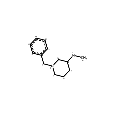 C[N]C1CCCN(Cc2ccccc2)C1